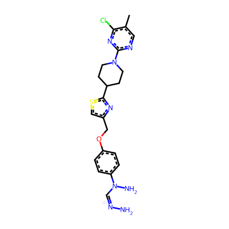 Cc1cnc(N2CCC(c3nc(COc4ccc(N(N)/C=N\N)cc4)cs3)CC2)nc1Cl